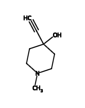 C#CC1(O)CCN(C)CC1